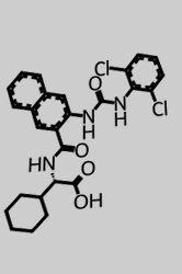 O=C(Nc1cc2ccccc2cc1C(=O)N[C@H](C(=O)O)C1CCCCC1)Nc1c(Cl)cccc1Cl